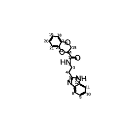 O=C(NCCc1nc2ccccc2[nH]1)C1COc2ccccc2O1